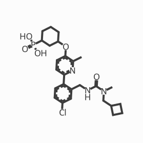 Cc1nc(-c2ccc(Cl)cc2CNC(=O)N(C)CC2CCC2)ccc1OC1CCCC(P(=O)(O)O)C1